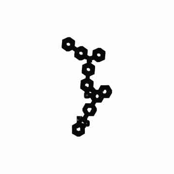 C1=CC(c2nc3ccccc3o2)CC=C1c1cc2ccccc2c2c1oc1ccc(-c3ccc(N(c4ccccc4)c4ccc(-c5ccccc5)cc4)cc3)cc12